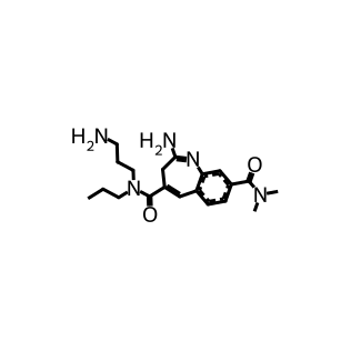 CCCN(CCCN)C(=O)C1=Cc2ccc(C(=O)N(C)C)cc2N=C(N)C1